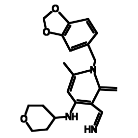 C=C1C(C=N)=C(NC2CCOCC2)C=C(C)N1Cc1ccc2c(c1)OCO2